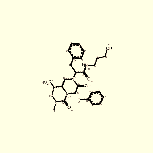 C[C@H]1ON(C(=O)O)C2CN(C(Cc3ccccc3)C(=O)NCCCO)C(=O)[C@H](Cc3ccccc3)N2C1=O